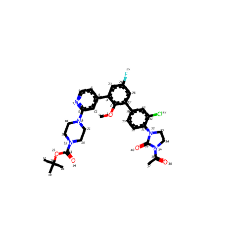 COc1c(-c2ccnc(N3CCN(C(=O)OC(C)(C)C)CC3)c2)cc(F)cc1-c1ccc(N2CCN(C(C)=O)C2=O)c(Cl)c1